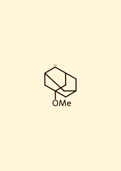 COC12CC3[C]C(CC(C3)C1)C2